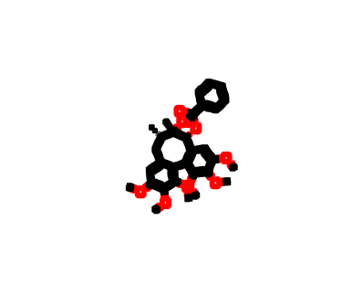 COc1cc2c(c(OC)c1OC)-c1c(cc(OC)c(OC)c1OC)[C@@H](OC(=O)c1ccccc1)[C@@](C)(O)[C@@H](C)C2